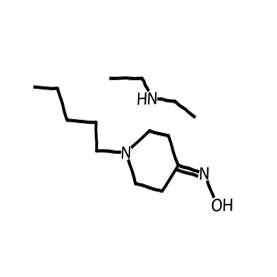 CCCCCN1CCC(=NO)CC1.CCNCC